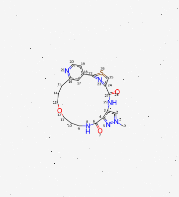 Cn1cc2c(n1)C(=O)NCCCOCCCc1cc(ccn1)-c1nc(cs1)C(=O)N2